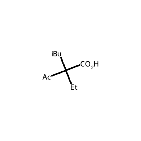 CCC(C)C(CC)(C(C)=O)C(=O)O